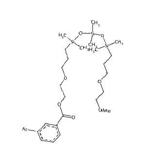 COCCOCCC[Si](C)(C)O[Si](C)(C)O[Si](C)(C)CCCOCCOC(=O)c1cccc(C(C)=O)c1